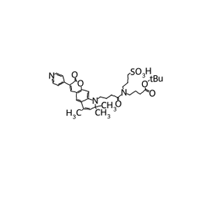 CC1=CC(C)(C)N(CCCC(=O)N(CCCC(=O)OC(C)(C)C)CCCS(=O)(=O)O)c2cc3oc(=O)c(-c4ccncc4)cc3cc21